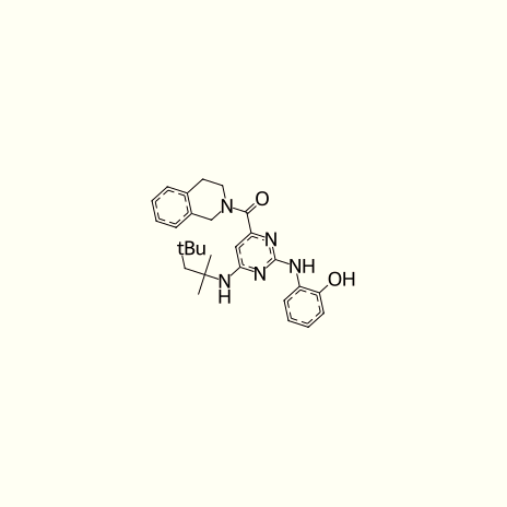 CC(C)(C)CC(C)(C)Nc1cc(C(=O)N2CCc3ccccc3C2)nc(Nc2ccccc2O)n1